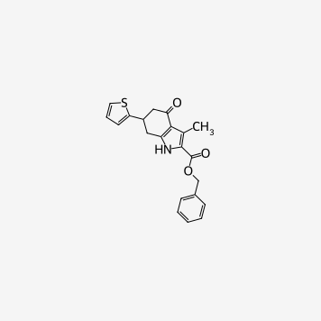 Cc1c(C(=O)OCc2ccccc2)[nH]c2c1C(=O)CC(c1cccs1)C2